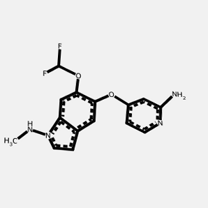 CNn1ccc2cc(Oc3ccnc(N)c3)c(OC(F)F)cc21